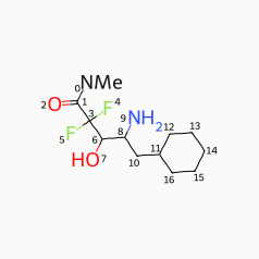 CNC(=O)C(F)(F)C(O)C(N)CC1CCCCC1